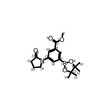 COC(=O)c1cc(B2OC(C)(C)C(C)(C)O2)cc(N2CCCC2=O)c1